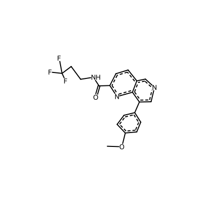 COc1ccc(-c2cncc3ccc(C(=O)NCCC(F)(F)F)nc23)cc1